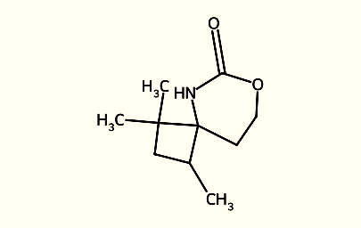 CC1CC(C)(C)C12CCOC(=O)N2